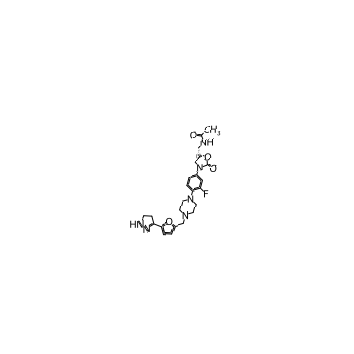 CC(=O)NC[C@H]1CN(c2ccc(N3CCN(Cc4ccc(C5=NNCC5)o4)CC3)c(F)c2)C(=O)O1